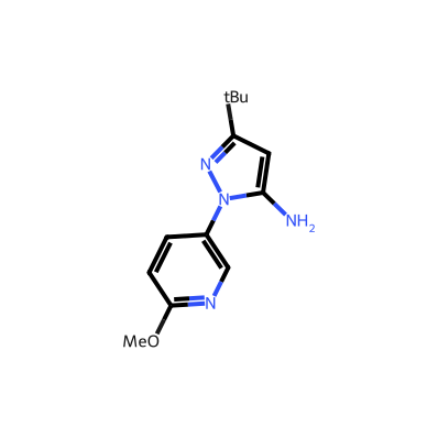 COc1ccc(-n2nc(C(C)(C)C)cc2N)cn1